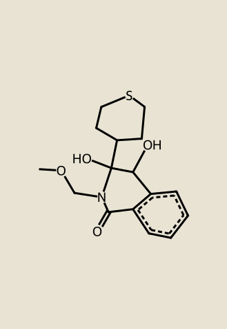 COCN1C(=O)c2ccccc2C(O)C1(O)C1CCSCC1